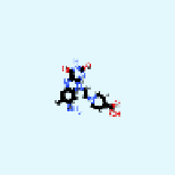 Cc1cc2nc3c(=O)[nH]c(=O)nc-3n(CCN3CCC(C(=O)O)CC3)c2cc1N